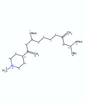 C=C(CCCCC(CCCCCCCCC)CC(=C)C1CCN(C)CC1)CC(CCCC)CCCCCC